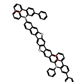 c1ccc(-c2ccc(-c3ccccc3)c(N(c3ccccc3)c3ccc4cc5c(cc4c3)oc3cc4c(cc35)oc3cc5cc(N(c6ccccc6)c6cc(-c7ccccc7)ccc6-c6ccccc6)ccc5cc34)c2)cc1